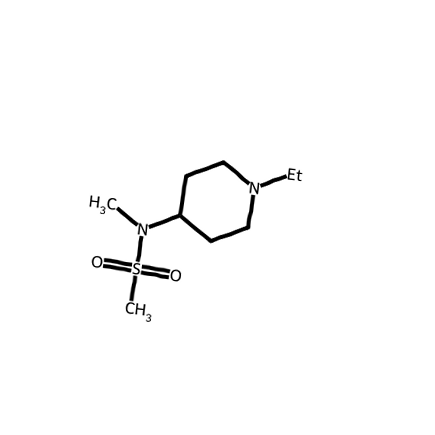 CCN1CCC(N(C)S(C)(=O)=O)CC1